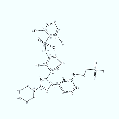 CS(=O)(=O)CCNc1nccc(-c2sc(N3CCOCC3)nc2-c2cccc(NS(=O)(=O)c3c(F)cccc3F)c2F)n1